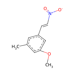 COc1cc(C)cc(/C=C/[N+](=O)[O-])c1